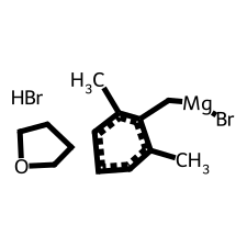 Br.C1CCOC1.Cc1cccc(C)c1[CH2][Mg][Br]